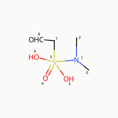 CN(C)S(=O)(O)(O)CC=O